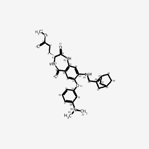 COC(=O)CC[C@H]1NC(=O)c2cc(Oc3cccc(N(C)C)c3)c(NCC3=C4CCC(C4)C3)cc2NC1=O